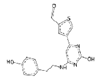 O=Cc1cc(-c2cc(NCCc3ccc(O)cc3)nc(O)n2)cs1